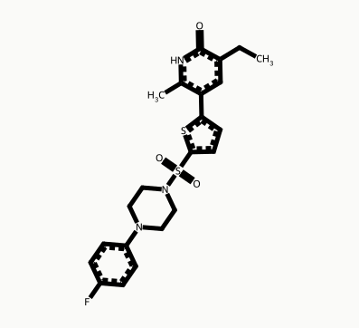 CCc1cc(-c2ccc(S(=O)(=O)N3CCN(c4ccc(F)cc4)CC3)s2)c(C)[nH]c1=O